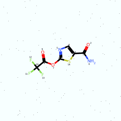 NC(=O)c1cnc(OC(=O)C(F)(F)F)s1